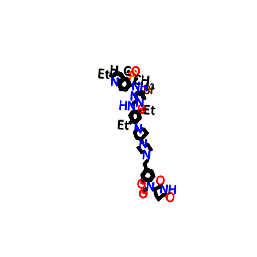 CCOc1cc(N2CCC(N3CCN(CCc4ccc5c(c4)oc(=O)n5C4CCC(=O)NC4=O)CC3)CC2)c(CC)cc1Nc1ncc(Br)c(Nc2ccc3nc(CC)ccc3c2P(C)(C)=O)n1